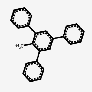 [CH2]c1c(-c2ccccc2)cc(-c2ccccc2)cc1-c1ccccc1